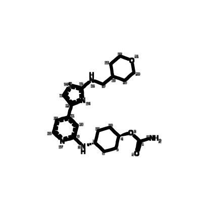 NC(=O)O[C@H]1CC[C@H](Nc2cc(-c3csc(NCC4CCOCC4)n3)ccn2)CC1